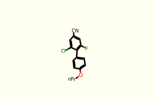 CCCOc1ccc(-c2c(F)cc(C#N)cc2Cl)cc1